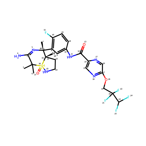 CC1(C)C(N)=N[C@](C)(c2cc(NC(=O)c3cnc(OCC(F)(F)C(F)F)cn3)ccc2F)[C@@H]2CCN[SH]21=O